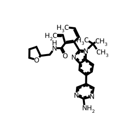 C=C/C(C(=O)NCC1CCCO1)=C(\C=C/C)c1nc2cc(-c3cnc(N)nc3)ccc2n1C(C)(C)C